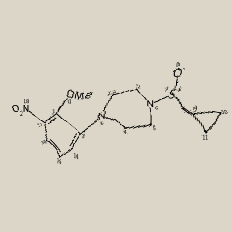 COc1c(N2CCN([S+]([O-])C3CC3)CC2)cccc1[N+](=O)[O-]